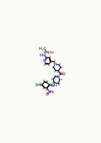 CB(O)Nc1cc(CN2CCC(C(=O)N3CCC(Nc4ccc(Br)cc4[N+](=O)[O-])CC3)CC2)ccn1